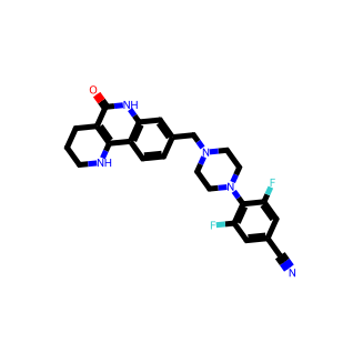 N#Cc1cc(F)c(N2CCN(Cc3ccc4c5c(c(=O)[nH]c4c3)CCCN5)CC2)c(F)c1